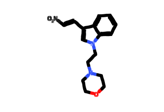 O=[N+]([O-])/C=C/c1cn(CCN2CCOCC2)c2ccccc12